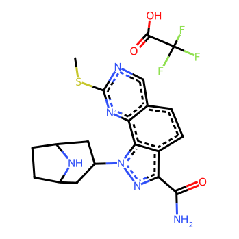 CSc1ncc2ccc3c(C(N)=O)nn(C4CC5CCC(C4)N5)c3c2n1.O=C(O)C(F)(F)F